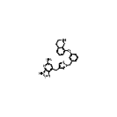 Nc1cc(Cc2cnn(Cc3cccc(Oc4cccc5c4CNCC5)c3)c2)c2nn[nH]c2n1